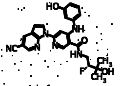 CC(C)(O)[C@H](F)CNC(=O)c1cnc(-n2ccc3cc(C#N)cnc32)cc1Nc1cccc(O)c1